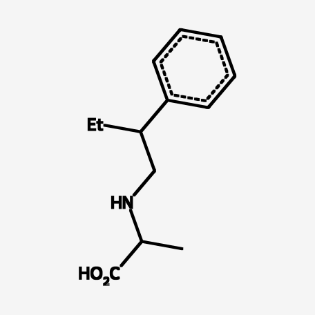 CCC(CNC(C)C(=O)O)c1ccccc1